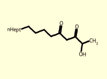 CCCCCCCCCCCC(=O)CC(=O)C(C)O